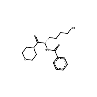 O=C(N[C@@H](CCCCO)C(=O)N1CCOCC1)c1ccccc1